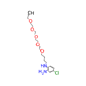 C#CCOCCOCCOCCOCCOCCCCNc1ccc(Cl)cc1N